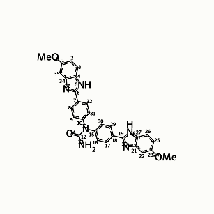 COc1ccc2[nH]c(-c3ccc(N(C(N)=O)c4ccc(-c5nc6cc(OC)ccc6[nH]5)cc4)cc3)nc2c1